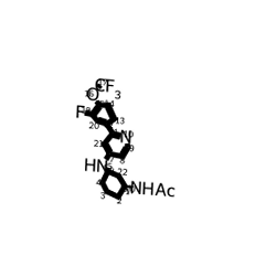 CC(=O)N[C@H]1CCC[C@@H](Nc2ccnc(-c3ccc(OC(F)(F)F)c(F)c3)c2)C1